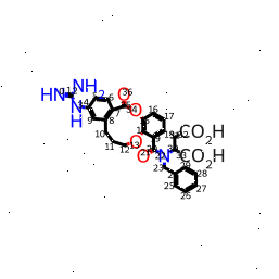 N=C(N)Nc1ccc2c(c1)CCCOc1c(cccc1C(=O)N(Cc1ccccc1)C(CC(=O)O)C(=O)O)OC2=O